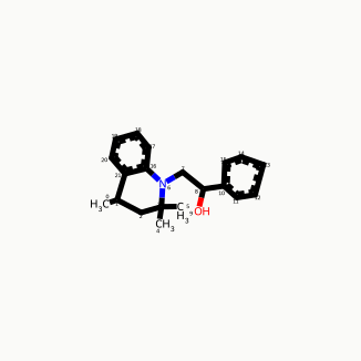 CC1CC(C)(C)N(CC(O)c2ccccc2)c2ccccc21